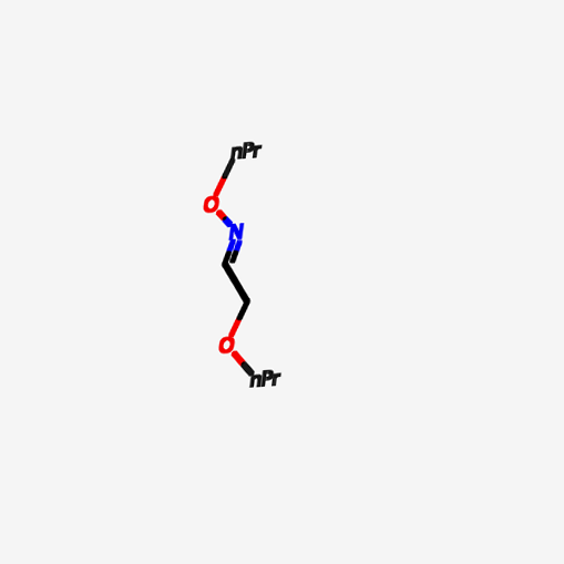 [CH2]CCOCC=NOCCC